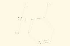 Brc1cc[c]cc1.[Br][Mg][Br]